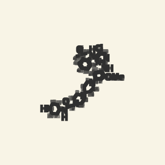 COc1cc(N2CCC(N3CCN(CC(=O)NC4CCNCC4)CC3)CC2)ccc1Nc1ncc(Cl)c(Nc2ccccc2P(C)(C)=O)n1